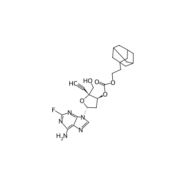 C#C[C@]1(CO)O[C@@H](n2cnc3c(N)nc(F)nc32)C[C@@H]1OC(=O)OCCC12CC3CC(CC(C3)C1)C2